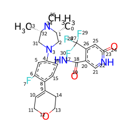 C[C@@H]1CN(c2cc(F)c(C3=CCOCC3)cc2NC(=O)c2c[nH]c(=O)cc2C(F)(F)F)C[C@H](C)N1C